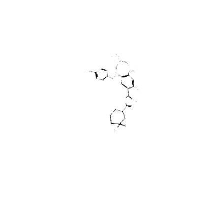 N[C@@H]1CN(Cc2ccc(Cl)cc2)c2cc(-c3nnc(C4CCCC(F)(F)C4)o3)c(F)cc2S(=O)(=O)C1